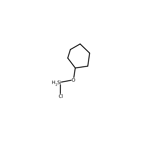 Cl[SiH2]OC1CCCCC1